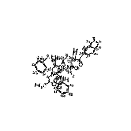 CC(C)CN(C[C@@H](O)[C@H](Cc1ccccc1)NC(=O)C[C@H](NC(=O)c1ccc2ccccc2n1)C(N)=O)S(=O)(=O)Nc1ccccc1